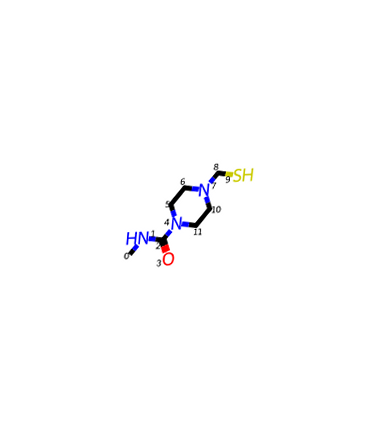 CNC(=O)N1CCN(CS)CC1